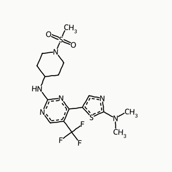 CN(C)c1ncc(-c2nc(NC3CCN(S(C)(=O)=O)CC3)ncc2C(F)(F)F)s1